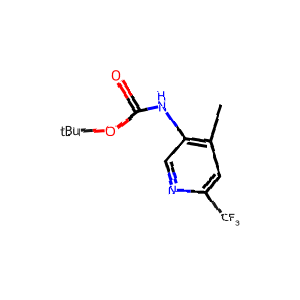 Cc1cc(C(F)(F)F)ncc1NC(=O)OC(C)(C)C